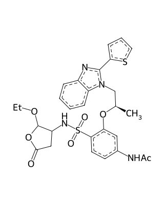 CCOC1OC(=O)CC1NS(=O)(=O)c1ccc(NC(C)=O)cc1O[C@H](C)Cn1c(-c2cccs2)nc2ccccc21